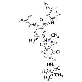 C/C(=N\c1cc(C(=O)Nc2cccc(C#N)c2)c(OCC(F)F)cc1C)Nc1c(Cl)ccc(CNC(=O)C(C)(C)C)c1Cl